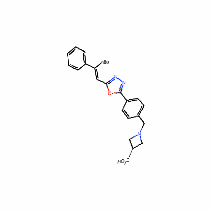 CCCC/C(=C\c1nnc(-c2ccc(CN3CC(C(=O)O)C3)cc2)o1)c1ccccc1